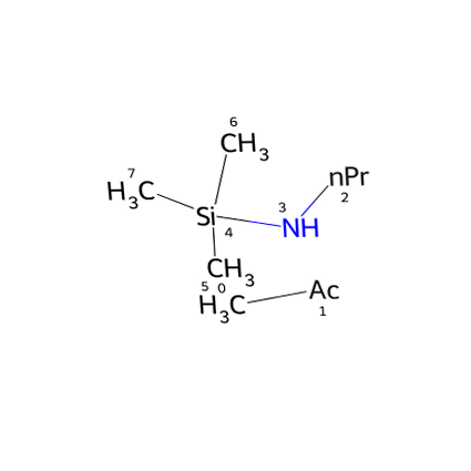 CC(C)=O.CCCN[Si](C)(C)C